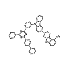 CCCc1cccc2oc3cc(-c4ccc5c(c4)c4ccccc4n5-c4cccc(-c5nc(-c6ccccc6)nc(-c6ccc(-c7ccccc7)cc6)n5)c4)ccc3c12